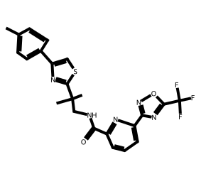 Cc1ccc(-c2csc(C(C)(C)CNC(=O)c3cccc(-c4noc(C(F)(F)F)n4)n3)n2)cc1